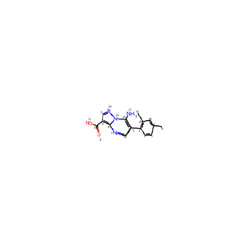 Cc1ccc(-c2cnc3c(C(=O)O)cnn3c2N)c(C)c1